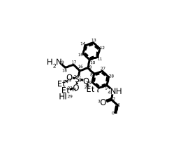 C=CC(=O)Nc1ccc(C(c2ccccc2)C(CCN)[Si](OCC)(OCC)OCC)cc1.I